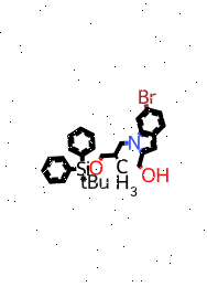 C[C@@H](CO[Si](c1ccccc1)(c1ccccc1)C(C)(C)C)Cn1c(CO)cc2ccc(Br)cc21